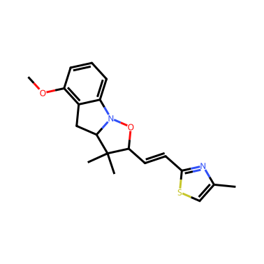 COc1cccc2c1CC1N2OC(C=Cc2nc(C)cs2)C1(C)C